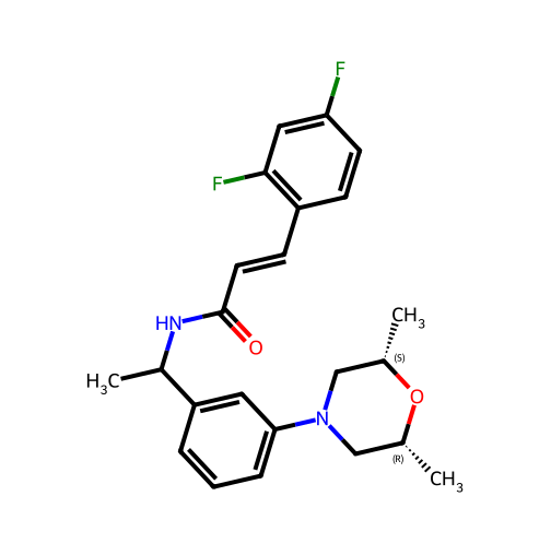 CC(NC(=O)C=Cc1ccc(F)cc1F)c1cccc(N2C[C@@H](C)O[C@@H](C)C2)c1